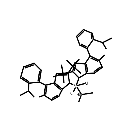 Cc1ccc2c(c1-c1ccccc1C(C)C)C=C(C(C)(C)C)[CH]2[Zr]([Cl])([Cl])([CH]1C(C(C)(C)C)=Cc2c1ccc(C)c2-c1ccccc1C(C)C)[SiH](C)C